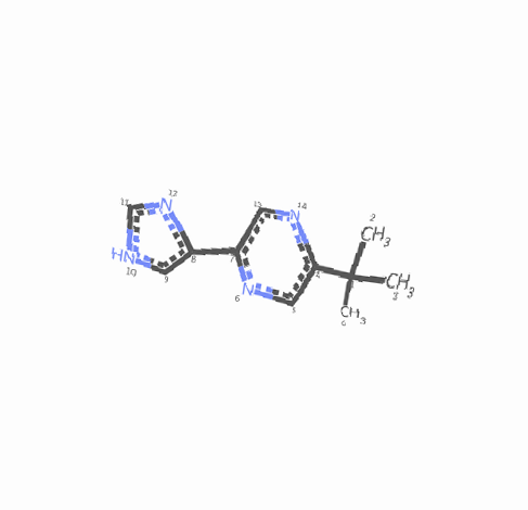 CC(C)(C)c1cnc(-c2c[nH]cn2)cn1